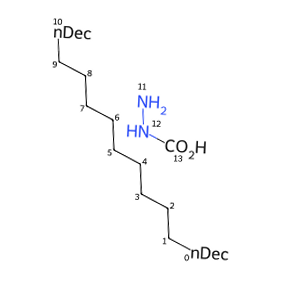 CCCCCCCCCCCCCCCCCCCCCCCCCCCCC.NNC(=O)O